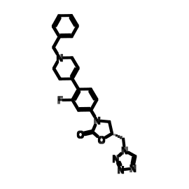 O=C1O[C@@H](Cn2cnnn2)CN1c1ccc(C2=CCN(Cc3ccccc3)CC2)c(F)c1